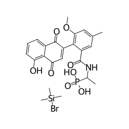 COc1cc(C)cc(C(=O)NC(C)P(=O)(O)O)c1C1=CC(=O)c2c(O)cccc2C1=O.C[Si](C)(C)Br